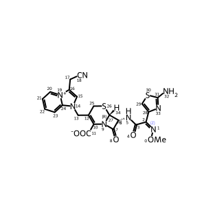 CO/N=C(\C(=O)N[C@@H]1C(=O)N2C(C(=O)[O-])=C(Cn3cc(CC#N)[n+]4ccccc34)CS[C@H]12)c1csc(N)n1